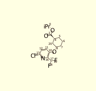 CC(C)OC(=O)[C@H]1CCC[C@H](Oc2ccc(Cl)nc2C(F)F)C1